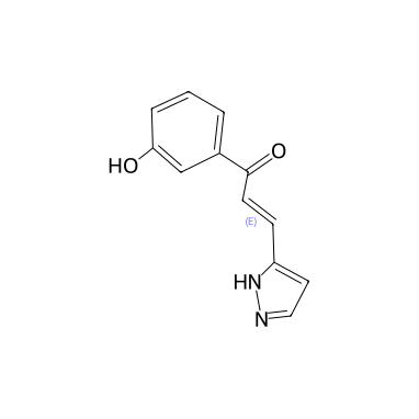 O=C(/C=C/c1ccn[nH]1)c1cccc(O)c1